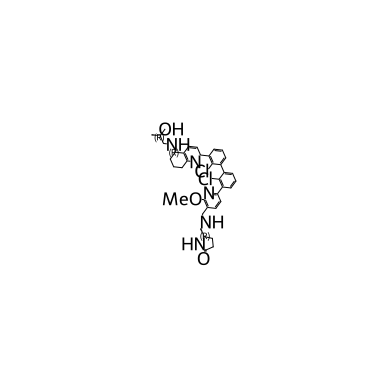 COc1nc(-c2cccc(-c3cccc(-c4ccc5c(n4)CCC[C@H]5NC[C@@H](C)O)c3Cl)c2Cl)ccc1CNC[C@H]1CCC(=O)N1